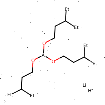 CCC(CC)CC[O][Al]([O]CCC(CC)CC)[O]CCC(CC)CC.[H-].[Li+]